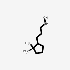 N[C@@]1(C(=O)O)CCCC1CCCBO